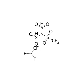 FC(F)C(F)(F)F.O=[SH](=O)N([SH](=O)=O)S(=O)(=O)C(F)(F)F